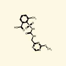 COc1ncnc(CNC(=O)NS(=O)(=O)c2c(C)cccc2C(=O)O)n1